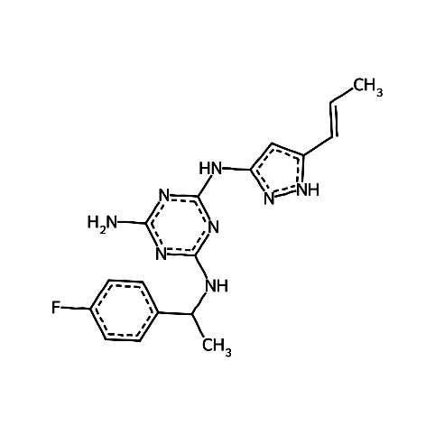 C/C=C/c1cc(Nc2nc(N)nc(NC(C)c3ccc(F)cc3)n2)n[nH]1